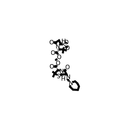 CC1(C)S[C@@H]2[C@H](N=CN3CCCCCC3)C(=O)N2[C@H]1C(=O)OCOC(=O)[C@@H]1N2C(=O)C[C@H]2S(=O)(=O)C1(C)C